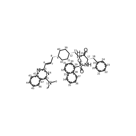 CN(C)c1nc(/C=C/C[C@H]2CC[C@@H](CNC(=O)[C@H](Cc3ccccc3)NS(=O)(=O)c3cccc4ccccc34)CC2)nc2ccccc12